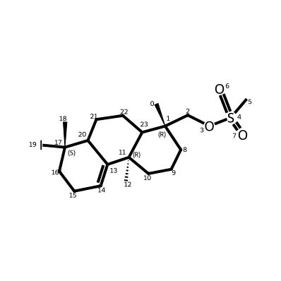 C[C@@]1(COS(C)(=O)=O)CCC[C@@]2(C)C3=CCC[C@](C)(I)C3CCC12